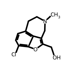 CN1CCc2ccc(Cl)c3oc(CO)c(c23)C1